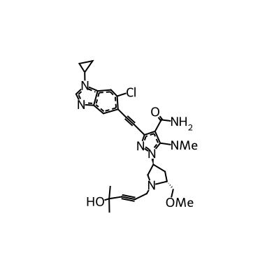 CNc1c(C(N)=O)c(C#Cc2cc3ncn(C4CC4)c3cc2Cl)nn1[C@H]1C[C@H](COC)N(CC#CC(C)(C)O)C1